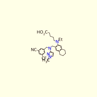 CCN(CCCCC(=O)O)c1cc2c(cc1CN(Cc1cc(C#N)cc(C(F)(F)F)c1)c1ccn(C)n1)CCCC2